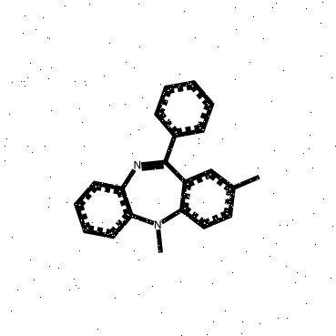 Cc1ccc2c(c1)C(c1ccccc1)=Nc1ccccc1N2C